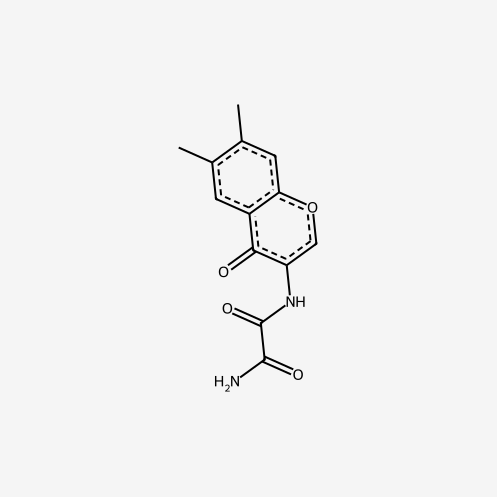 Cc1cc2occ(NC(=O)C(N)=O)c(=O)c2cc1C